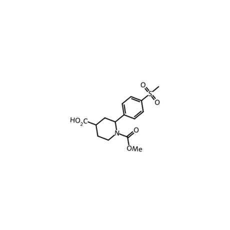 COC(=O)N1CCC(C(=O)O)CC1c1ccc(S(C)(=O)=O)cc1